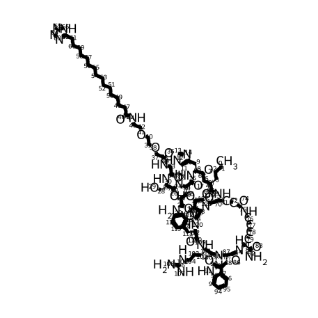 CCCC[C@H](CC(=O)[C@H](Cc1c[nH]cn1)NC(=O)[C@H](CCC(N)=O)NC(=O)[C@H](CO)NC(=O)CNC(=O)COCCOCCNC(=O)CCCCCCCCCCCCCCCc1nnn[nH]1)C(=O)N[C@H]1CCC(=O)NCCCC[C@@H](C(N)=O)NC(=O)[C@H](Cc2c[nH]c3ccccc23)NC(=O)[C@H](CCCNC(=N)N)NC(=O)[C@@H](Cc2ccccc2)NC(=O)[C@@H]2C[C@@H](O)CN2C1=O